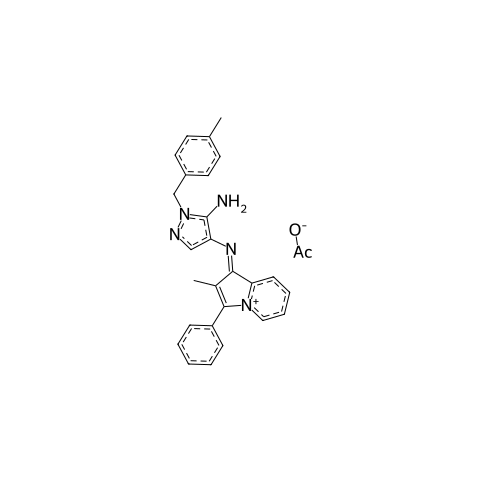 CC(=O)[O-].CC1=C(c2ccccc2)[n+]2ccccc2/C1=N/c1cnn(Cc2ccc(C)cc2)c1N